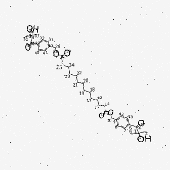 CC(C)(O)C(=O)c1ccc(COC(=O)CCCCCCCCCCCCC(=O)OCc2ccc(C(=O)C(C)(C)O)cc2)cc1